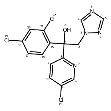 OC(Cn1cncn1)(c1ccc(Cl)cn1)c1ccc(Cl)cc1Cl